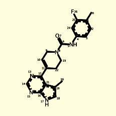 Cc1ccc(NC(=O)N2CC=C(c3ncnc4[nH]cc(C)c34)CC2)cc1F